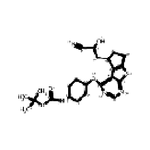 CC(C)(C)OC(=O)NC1CCC(Oc2ncnc3sc4c(c23)[C@@H](CC(O)C#N)CC4)CC1